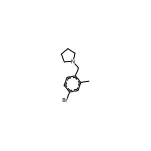 Cc1cc(Br)ccc1CN1CCCC1